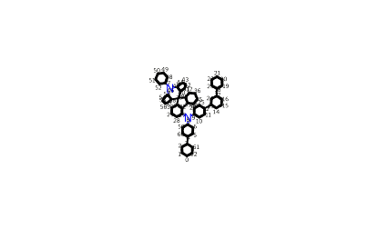 c1ccc(-c2ccc(N(c3ccc(-c4cccc(-c5ccccc5)c4)cc3)c3cccc4c3-c3ccccc3C43c4ccccc4N(c4ccccc4)c4ccccc43)cc2)cc1